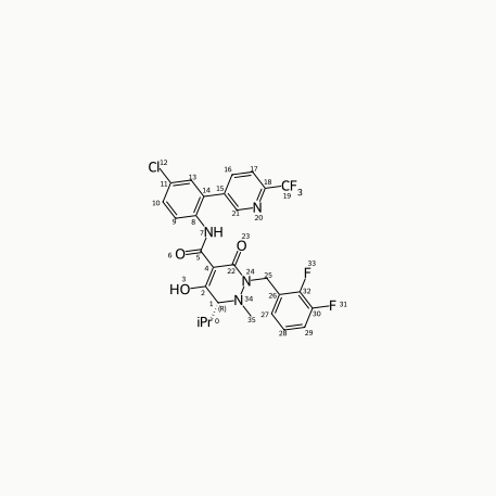 CC(C)[C@@H]1C(O)=C(C(=O)Nc2ccc(Cl)cc2-c2ccc(C(F)(F)F)nc2)C(=O)N(Cc2cccc(F)c2F)N1C